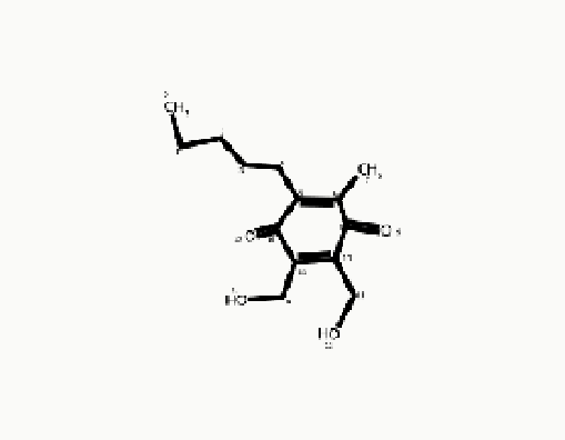 CCCCCC1=C(C)C(=O)C(CO)=C(CO)C1=O